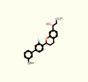 COc1cccc(-c2ccc(C3CCc4ccc([C@H](O)CC(=O)O)cc4O3)c(F)c2)c1